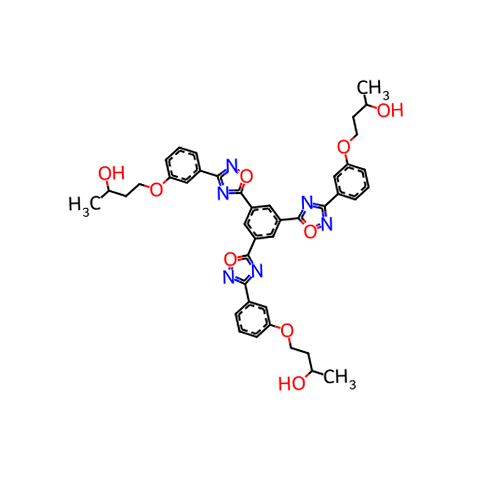 CC(O)CCOc1cccc(-c2noc(-c3cc(-c4nc(-c5cccc(OCCC(C)O)c5)no4)cc(-c4nc(-c5cccc(OCCC(C)O)c5)no4)c3)n2)c1